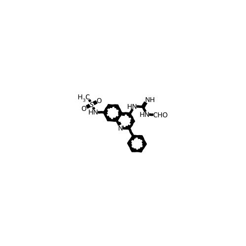 CS(=O)(=O)Nc1ccc2c(NC(=N)NC=O)cc(-c3ccccc3)nc2c1